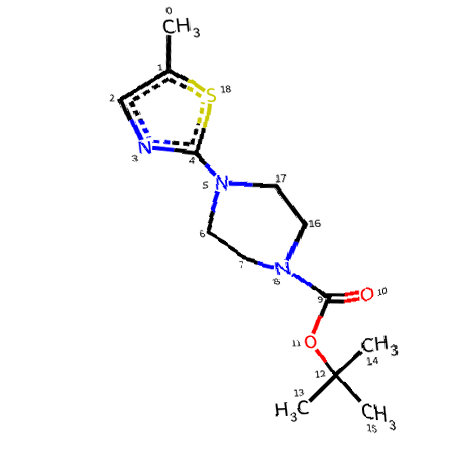 Cc1cnc(N2CCN(C(=O)OC(C)(C)C)CC2)s1